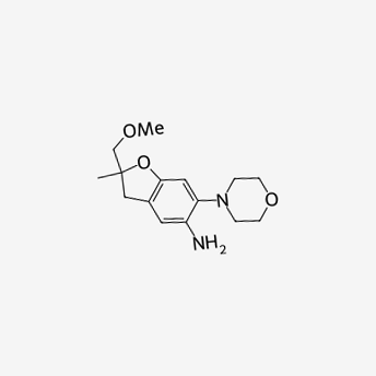 COCC1(C)Cc2cc(N)c(N3CCOCC3)cc2O1